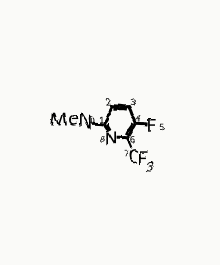 CNc1ccc(F)c(C(F)(F)F)n1